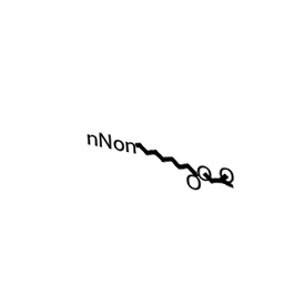 CCCCCCCCCCCCCCCCC(=O)OCC1CO1